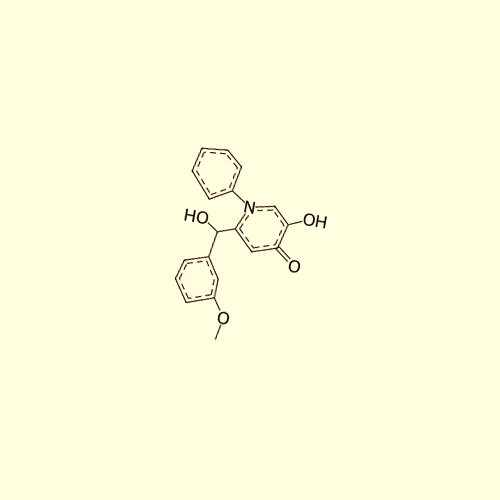 COc1cccc(C(O)c2cc(=O)c(O)cn2-c2ccccc2)c1